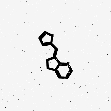 C(=C1CCc2cccnc21)c1cccs1